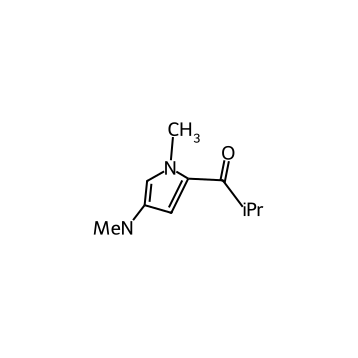 CNc1cc(C(=O)C(C)C)n(C)c1